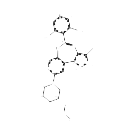 COC[C@@H]1CCCN(c2cc3c(cn2)NC(c2c(F)cccc2F)=Nc2c(C)n[nH]c2-3)C1